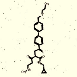 O=NNCCC(=O)C(CC(=O)c1ccc(-c2ccc(COCCO)cc2)cc1)C(=O)NCC1CC1